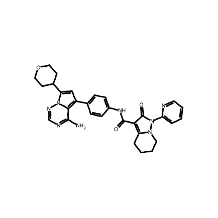 Nc1ncnn2c(C3CCOCC3)cc(-c3ccc(NC(=O)c4c5n(n(-c6ccccn6)c4=O)CCCC5)cc3)c12